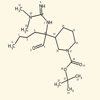 CCCCC(C=O)(NC(=N)N(C)C)C1CCCN(C(=O)OC(C)(C)C)C1